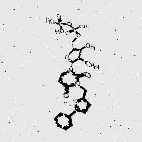 O=c1ccn([C@@H]2O[C@H](COP(=O)(O)OP(=O)(O)O)C(O)C2O)c(=O)n1Cc1ccc(-c2ccccc2)s1